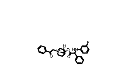 O=C(C[N+]12CCC(CC1)[C@@H](OC(=O)C(Nc1cccc(F)c1)c1ccccc1)C2)c1ccccc1